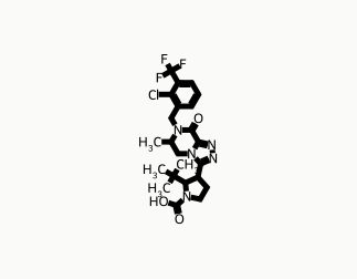 CC1Cn2c(nnc2C2CCN(C(=O)O)C2C(C)(C)C)C(=O)N1Cc1cccc(C(F)(F)F)c1Cl